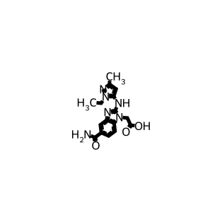 CCn1nc(C)cc1Nc1nc2cc(C(N)=O)ccc2n1CC(=O)O